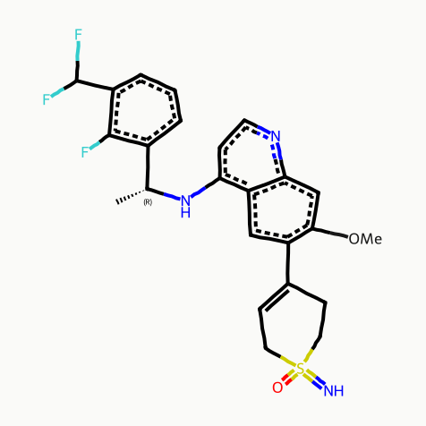 COc1cc2nccc(N[C@H](C)c3cccc(C(F)F)c3F)c2cc1C1=CCS(=N)(=O)CC1